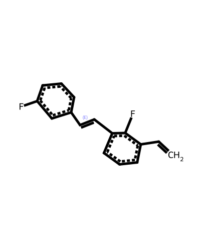 C=Cc1cccc(/C=C/c2cccc(F)c2)c1F